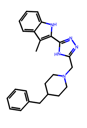 Cc1c(-c2nnc(CN3CCC(Cc4ccccc4)CC3)[nH]2)[nH]c2ccccc12